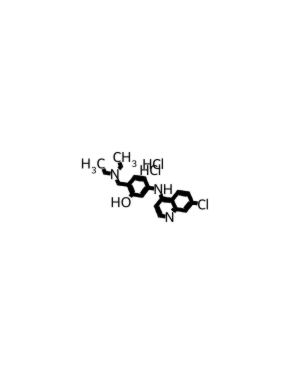 CCN(CC)Cc1ccc(Nc2ccnc3cc(Cl)ccc23)cc1O.Cl.Cl